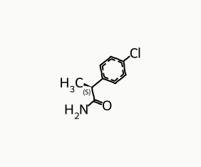 C[C@H](C(N)=O)c1ccc(Cl)cc1